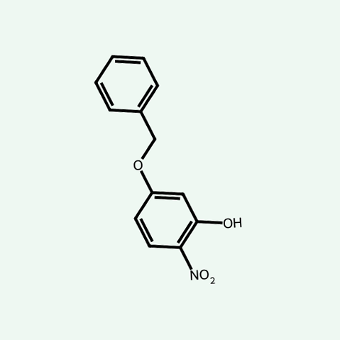 O=[N+]([O-])c1ccc(OCc2ccccc2)cc1O